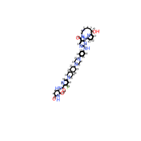 C[C@@]1(O)CC/C=C\Cn2c(=O)c3cnc(Nc4ccc(N5CCN(C6CCC7(CC6)CCN(c6cnc(C(=O)NC8CCC(=O)NC8=O)c(F)c6)CC7)CC5)cc4)nc3n2-c2cccc1n2